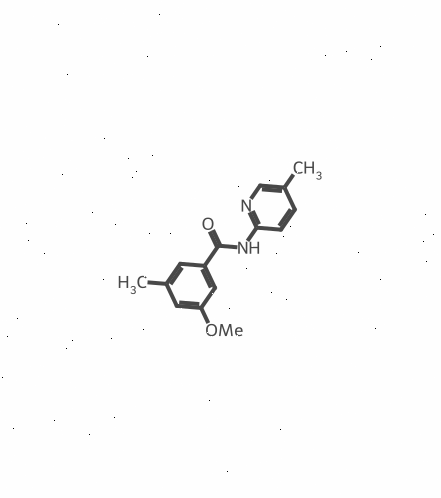 COc1cc(C)cc(C(=O)Nc2ccc(C)cn2)c1